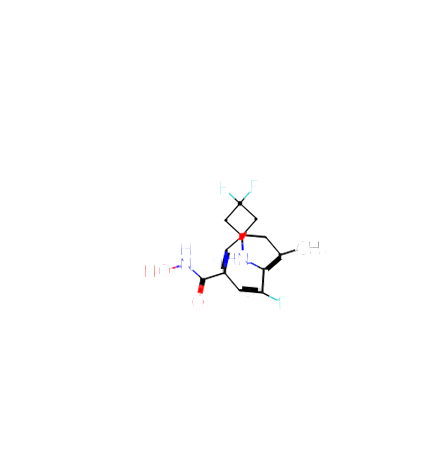 C\C1=C(NC2CC(F)(F)C2)/C(F)=C\C(C(=O)NO)=C/CC1